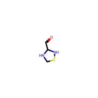 O=CC1NCSN1